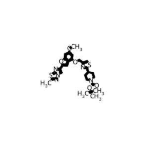 COc1cc(OCc2csc(C3CCN(C(=O)OC(C)(C)C)CC3)n2)c2cc(-c3cn4nc(C)sc4n3)oc2c1